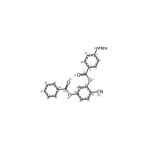 [CH2]CCCCCc1ccc(C(=O)Oc2nc(OC(=O)c3ccccc3)ccc2C#N)cc1